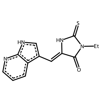 CCN1C(=O)/C(=C/c2c[nH]c3ncccc23)NC1=S